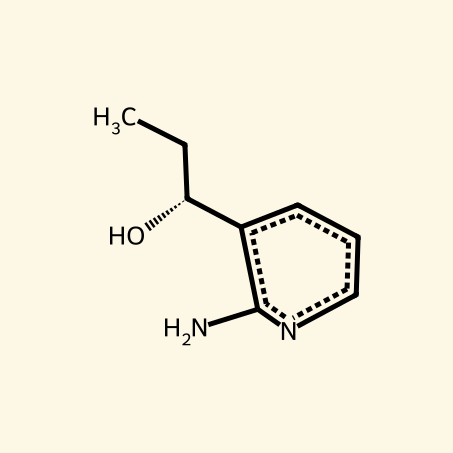 CC[C@@H](O)c1cccnc1N